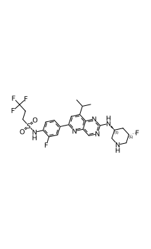 CC(C)c1cc(-c2ccc(NS(=O)(=O)CCC(F)(F)F)c(F)c2)nc2cnc(N[C@@H]3CNC[C@@H](F)C3)nc12